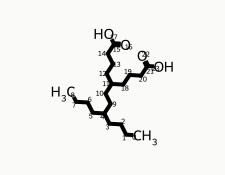 CCCCC(CCCC)CCC(CCCC(=O)O)CCCC(=O)O